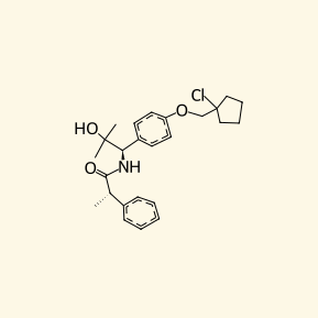 C[C@H](C(=O)N[C@H](c1ccc(OCC2(Cl)CCCC2)cc1)C(C)(C)O)c1ccccc1